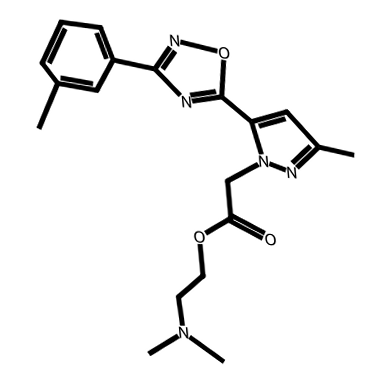 Cc1cccc(-c2noc(-c3cc(C)nn3CC(=O)OCCN(C)C)n2)c1